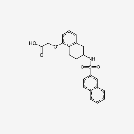 O=C(O)COc1cccc2c1CCC(NS(=O)(=O)c1ccc3ccccc3c1)C2